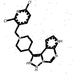 Clc1ccc(CN2CCC(C3=C4c5cc[nH]c5N=CN4NN3)CC2)c(Cl)n1